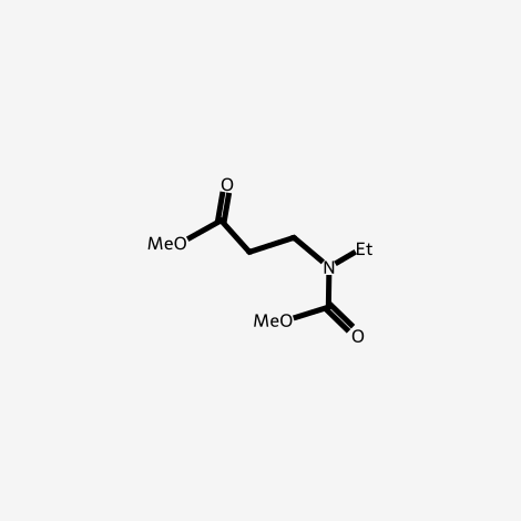 CCN(CCC(=O)OC)C(=O)OC